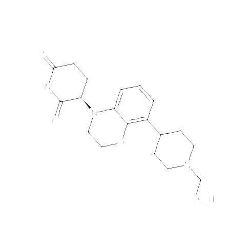 O=C(O)CN1CCC(c2cccc3c2OCCN3[C@@H]2CCC(=O)NC2=O)CC1